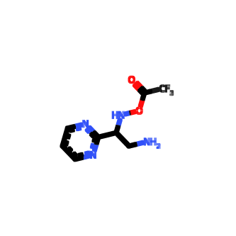 NCC(NOC(=O)C(F)(F)F)c1ncccn1